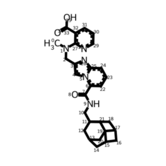 CN(Cc1cn2c(C(=O)NCC34CC5CC6CC(C3)C6(C5)C4)cccc2n1)c1ncccc1C(=O)O